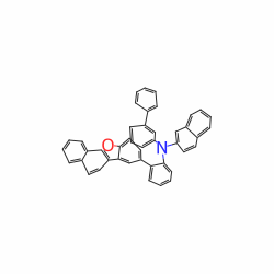 c1ccc(-c2cccc(N(c3ccc4ccccc4c3)c3ccccc3-c3ccc4oc5c6ccccc6ccc5c4c3)c2)cc1